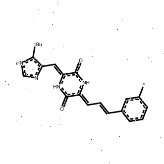 CC(C)(C)c1[nH]cnc1/C=c1\[nH]c(=O)/c(=C/C=C/c2cccc(F)c2)[nH]c1=O